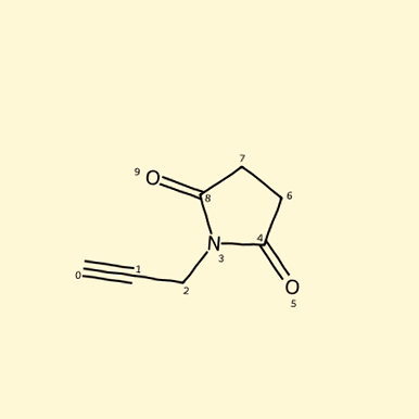 C#CCN1C(=O)CCC1=O